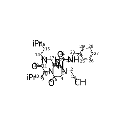 C#CCN1CC(=O)N2[C@@H](CC(C)C)C(=O)N(CCC(C)C)C[C@@H]2N1C(=O)NCc1ccccc1